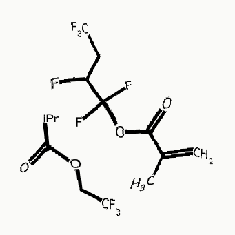 C=C(C)C(=O)OC(F)(F)C(F)CC(F)(F)F.CC(C)C(=O)OCC(F)(F)F